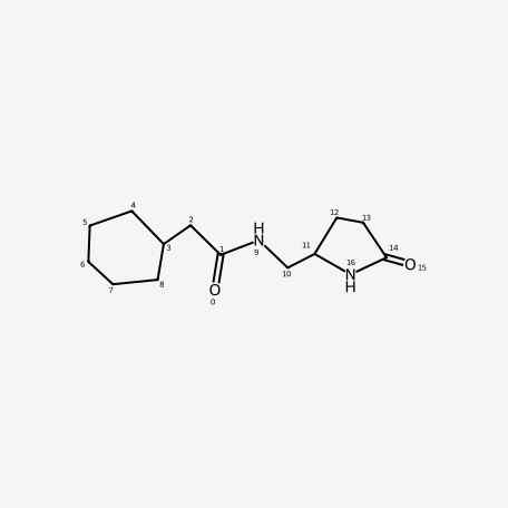 O=C(CC1CCCCC1)NCC1CCC(=O)N1